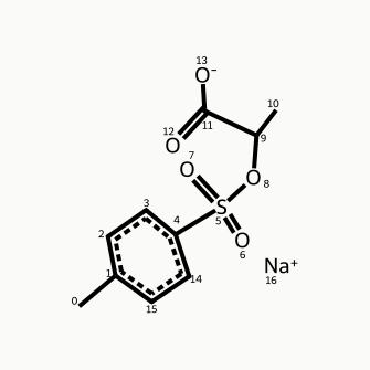 Cc1ccc(S(=O)(=O)OC(C)C(=O)[O-])cc1.[Na+]